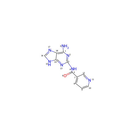 Nc1nc(NC(=O)c2cccnc2)nc2[nH]cnc12